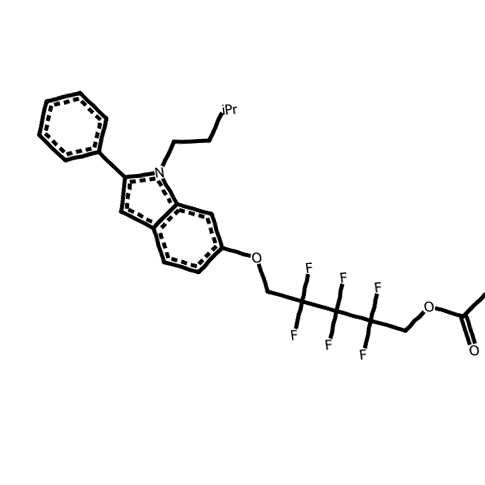 CCC(C)C(=O)OCC(F)(F)C(F)(F)C(F)(F)COc1ccc2cc(-c3ccccc3)n(CCC(C)C)c2c1